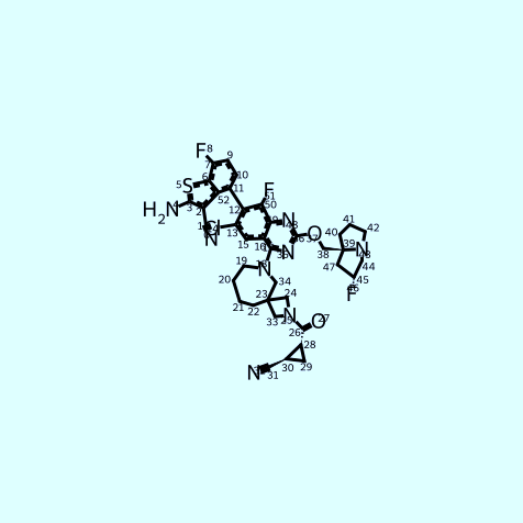 N#Cc1c(N)sc2c(F)ccc(-c3c(Cl)cc4c(N5CCCCC6(CN(C(=O)[C@@H]7C[C@H]7C#N)C6)C5)nc(OC[C@@]56CCCN5C[C@H](F)C6)nc4c3F)c12